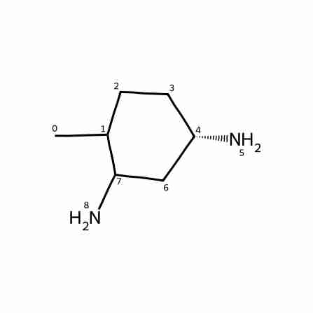 CC1CC[C@H](N)CC1N